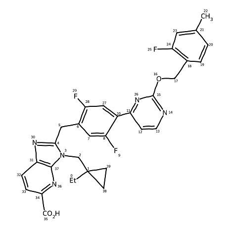 CCC1(Cn2c(Cc3cc(F)c(-c4ccnc(OCc5ccc(C)cc5F)n4)cc3F)nc3ccc(C(=O)O)nc32)CC1